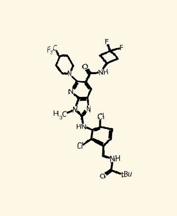 Cn1c(Nc2c(Cl)ccc(CNC(=O)C(C)(C)C)c2Cl)nc2cc(C(=O)NC3CC(F)(F)C3)c(N3CCC(C(F)(F)F)CC3)nc21